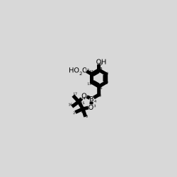 CC1(C)OB(Cc2ccc(O)c(C(=O)O)c2)OC1(C)C